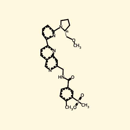 COC[C@H]1CCCN1c1cccc(-c2ccc3cnc(CNC(=O)c4ccc(C)c(S(C)(=O)=O)c4)cc3n2)n1